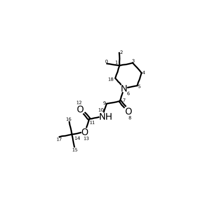 CC1(C)CCCN(C(=O)CNC(=O)OC(C)(C)C)C1